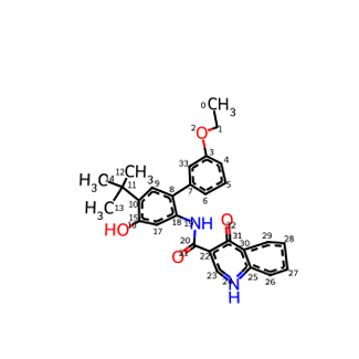 CCOc1cccc(-c2cc(C(C)(C)C)c(O)cc2NC(=O)c2c[nH]c3ccccc3c2=O)c1